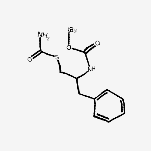 CC(C)(C)OC(=O)NC(CSC(N)=O)Cc1ccccc1